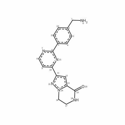 NCc1ccc(-c2nccc(-c3cc4n(n3)CCNC4=O)n2)cc1